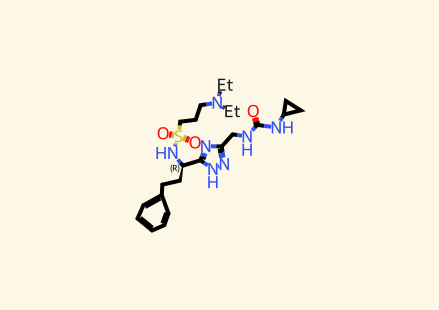 CCN(CC)CCCS(=O)(=O)N[C@H](CCc1ccccc1)c1nc(CNC(=O)NC2CC2)n[nH]1